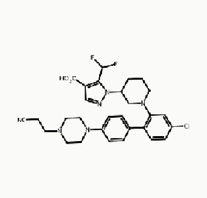 N#CCCN1CCN(c2ccc(-c3ccc(Cl)cc3N3CCCC(n4ncc(C(=O)O)c4C(F)F)C3)cc2)CC1